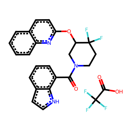 O=C(O)C(F)(F)F.O=C(c1cccc2cc[nH]c12)N1CCC(F)(F)C(Oc2ccc3ccccc3n2)C1